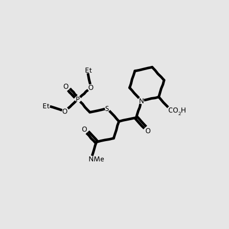 CCOP(=O)(CSC(CC(=O)NC)C(=O)N1CCCCC1C(=O)O)OCC